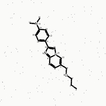 CCCOCc1ccc2nc(-c3ccc(N(C)C)cc3)cn2c1